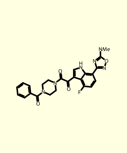 CNc1nc(-c2ccc(F)c3c(C(=O)C(=O)N4CCN(C(=O)c5ccccc5)CC4)c[nH]c23)no1